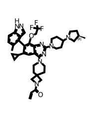 C=CC(=O)N1CC2(CCN(c3nc(N4CCC(N5CC[C@@H](C)C5)CC4)nc4c(OCC(F)(F)F)c(-c5c(C)ccc6[nH]ncc56)c(C5CC5)cc34)CC2)C1